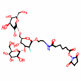 O=C(CCCCC(=O)ON1C(=O)CCC1=O)NCCO[C@H]1O[C@H](CO[C@H]2O[C@H](CO)[C@@H](O)[C@H](O)[C@@H]2O)[C@@H](O)[C@H](O[C@H]2O[C@H](CO)[C@@H](O)[C@H](O)[C@@H]2O)[C@@H]1F